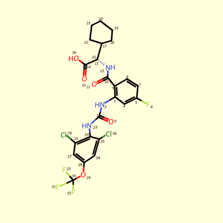 O=C(Nc1cc(F)ccc1C(=O)N[C@H](C(=O)O)C1CCCCC1)Nc1c(Cl)cc(OC(F)(F)F)cc1Cl